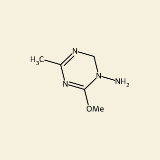 COC1=NC(C)=NCN1N